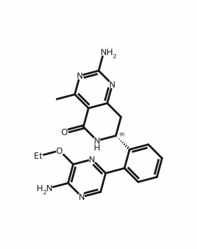 CCOc1nc(-c2ccccc2[C@H]2Cc3nc(N)nc(C)c3C(=O)N2)cnc1N